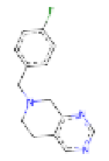 Fc1ccc(CN2CCc3cncnc3C2)cc1